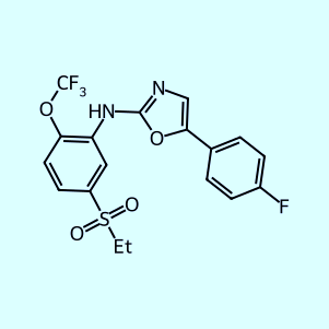 CCS(=O)(=O)c1ccc(OC(F)(F)F)c(Nc2ncc(-c3ccc(F)cc3)o2)c1